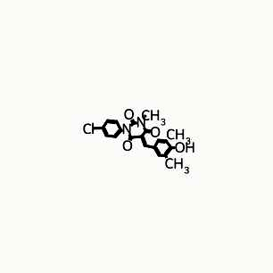 Cc1cc(C=C2C(=O)N(C)C(=O)N(c3ccc(Cl)cc3)C2=O)cc(C)c1O